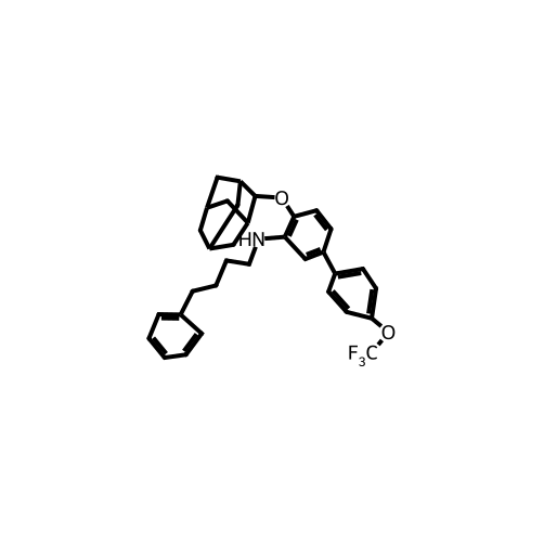 FC(F)(F)Oc1ccc(-c2ccc(OC3C4CC5CC(C4)CC3C5)c(NCCCCc3ccccc3)c2)cc1